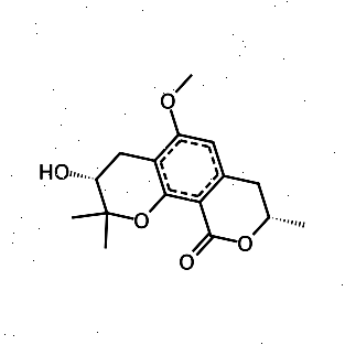 COc1cc2c(c3c1C[C@@H](O)C(C)(C)O3)C(=O)O[C@@H](C)C2